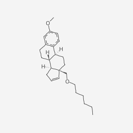 CCCCCCOC[C@@]12C=CC[C@H]1[C@@H]1CCc3cc(OC)ccc3[C@H]1CC2